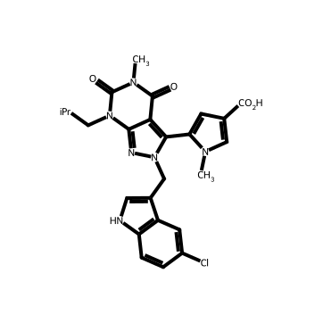 CC(C)Cn1c(=O)n(C)c(=O)c2c(-c3cc(C(=O)O)cn3C)n(Cc3c[nH]c4ccc(Cl)cc34)nc21